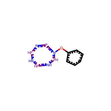 c1ccc(On2pn[pH][nH][pH][nH][pH]2)cc1